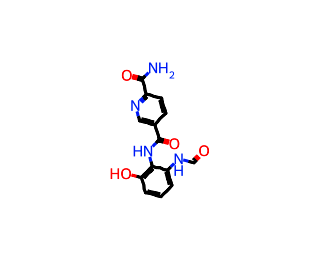 NC(=O)c1ccc(C(=O)Nc2c(O)cccc2NC=O)cn1